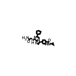 NC(=O)CNc1nc(-c2ccccc2)cn2c(-c3ccc(C(=O)NC4CC4)cc3)cnc12